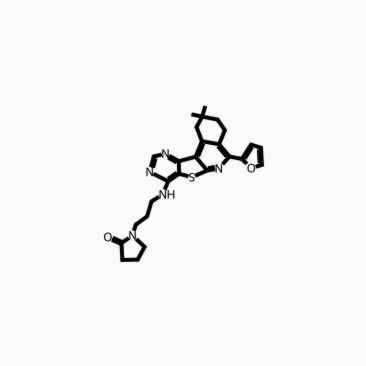 CC1(C)CCc2c(-c3ccco3)nc3sc4c(NCCCN5CCCC5=O)ncnc4c3c2C1